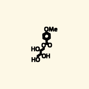 COc1ccc(C(=O)OC[C@@H](O)[C@@H](O)CO)cc1